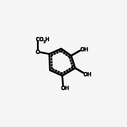 O=C(O)Oc1cc(O)c(O)c(O)c1